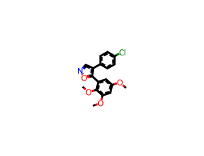 COc1cc(OC)c(OC)c(-c2oncc2-c2ccc(Cl)cc2)c1